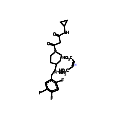 N[C@H](Cc1cc(F)c(F)cc1F)C1CCN(C(=O)CC(=O)NC2CC2)CC1.O=C(O)/C=C\C(=O)O